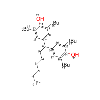 CC(C)CCCCCC(c1cc(C(C)(C)C)c(O)c(C(C)(C)C)c1)c1cc(C(C)(C)C)c(O)c(C(C)(C)C)c1